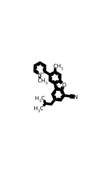 Cc1cc2oc3c(C#N)cc(CC(C)C)cc3c2cc1-c1cccc[n+]1C